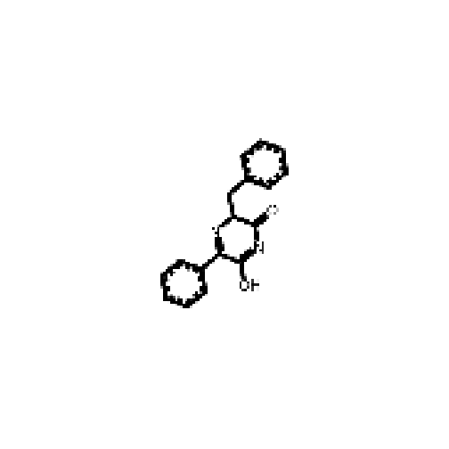 O=C1N=C(O)C(c2ccccc2)=NC1Cc1ccccc1